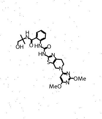 COc1cc(N2CCc3nc(NC(=O)Nc4ccccc4C(=O)NC(C)(C)CO)sc3C2)nc(OC)n1